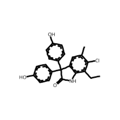 CCc1c(Cl)c(C)cc2c1NC(=O)C2(c1ccc(O)cc1)c1ccc(O)cc1